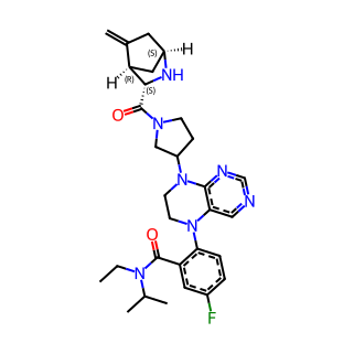 C=C1C[C@@H]2C[C@H]1[C@@H](C(=O)N1CCC(N3CCN(c4ccc(F)cc4C(=O)N(CC)C(C)C)c4cncnc43)C1)N2